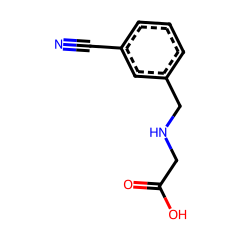 N#Cc1cccc(CNCC(=O)O)c1